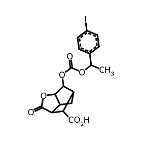 CC(OC(=O)OC1C2CC3C1OC(=O)C3C2C(=O)O)c1ccc(I)cc1